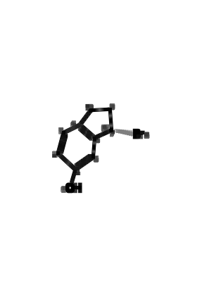 Oc1ccc2c(c1)[C@@H](Br)CC2